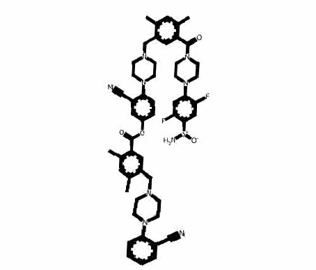 Cc1cc(C)c(C(=O)Oc2ccc(N3CCN(Cc4cc(C(=O)N5CCN(c6cc(F)c([S+](N)[O-])cc6F)CC5)c(C)cc4C)CC3)c(C#N)c2)cc1CN1CCN(c2ccccc2C#N)CC1